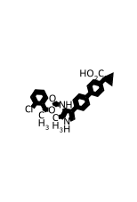 Cc1[nH]cc(-c2ccc(-c3ccc(C4(C(=O)O)CC4)cc3)cc2)c1NC(=O)OC(C)c1ccccc1Cl